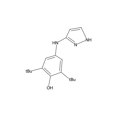 CC(C)(C)c1cc(Nc2cc[nH]n2)cc(C(C)(C)C)c1O